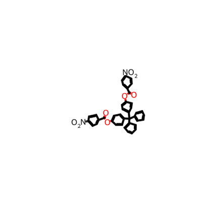 O=C(Oc1ccc(C(c2ccccc2)(c2ccccc2)c2ccc(OC(=O)c3ccc([N+](=O)[O-])cc3)cc2)cc1)c1ccc([N+](=O)[O-])cc1